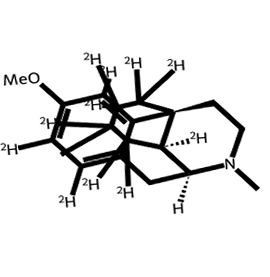 [2H]c1c([2H])c(OC)c([2H])c2c1C[C@@H]1N(C)CC[C@]23C([2H])([2H])C([2H])([2H])C([2H])(C)C([2H])([2H])[C@]13[2H]